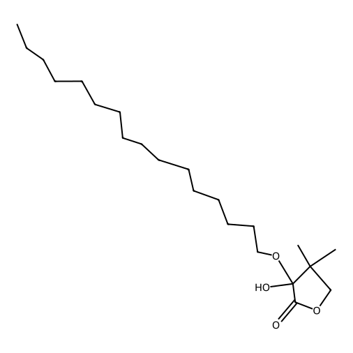 CCCCCCCCCCCCCCCCOC1(O)C(=O)OCC1(C)C